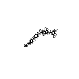 Cc1c(Br)cc(C(C)(C)c2cc(Br)c(OCC(O)COc3ccc(C(C)(C)c4ccc(OCC5CO5)cc4)cc3)c(Br)c2)cc1Br